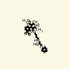 COC(=O)C1=C(C)NC(C)=C(C(=O)OCCCCNCC(O)COc2ccccc2)C1c1cccc([N+](=O)[O-])c1